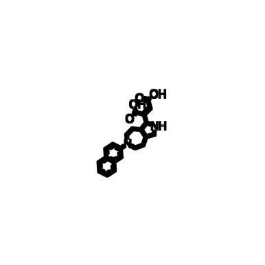 O=C(O)/C=C(\C(=O)O)C1NCC2CCN(c3ccc4ccccc4c3)CCC21